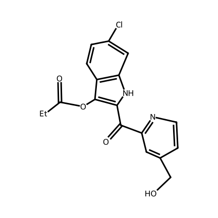 CCC(=O)Oc1c(C(=O)c2cc(CO)ccn2)[nH]c2cc(Cl)ccc12